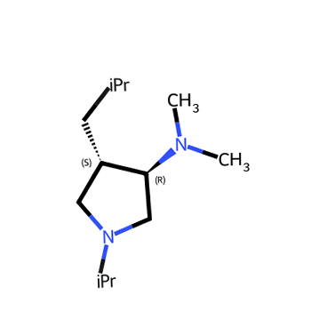 CC(C)C[C@H]1CN(C(C)C)C[C@@H]1N(C)C